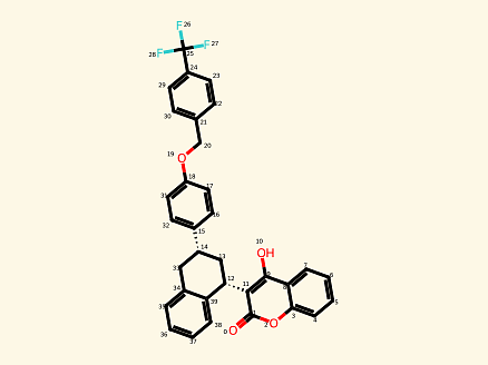 O=c1oc2ccccc2c(O)c1[C@H]1C[C@@H](c2ccc(OCc3ccc(C(F)(F)F)cc3)cc2)Cc2ccccc21